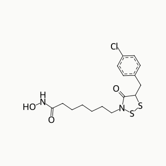 O=C(CCCCCCN1SSC(Cc2ccc(Cl)cc2)C1=O)NO